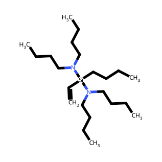 C=C[Si](CCCC)(N(CCCC)CCCC)N(CCCC)CCCC